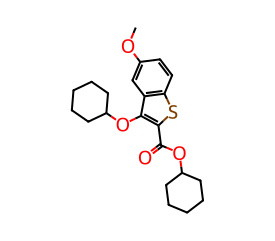 COc1ccc2sc(C(=O)OC3CCCCC3)c(OC3CCCCC3)c2c1